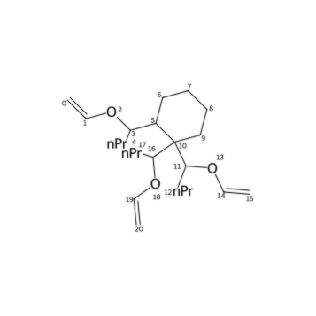 C=COC(CCC)C1CCCCC1(C(CCC)OC=C)C(CCC)OC=C